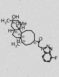 COC[C@]12CC[C@@](C)(O)C[C@H]1CC[C@H]1[C@@H](C)CC[C@H](C(=O)Cn3nnc4c(F)cccc43)CCC[C@@H]12